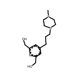 CN1CCN(CCCc2cc(CO)nc(CO)c2)CC1